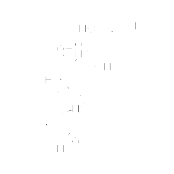 CC(C)(O)C(O)=CC(=O)[C@@]1(O)C[C@]23CC(=O)[C@@]4(C)[C@@H]5CC(=O)[C@H](O)C(C)(C)C5=CC[C@H]4[C@]2(C)C[C@@H](O)[C@@H]31